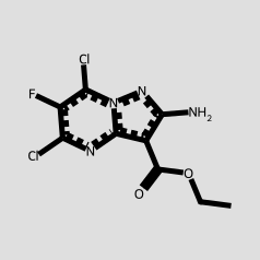 CCOC(=O)c1c(N)nn2c(Cl)c(F)c(Cl)nc12